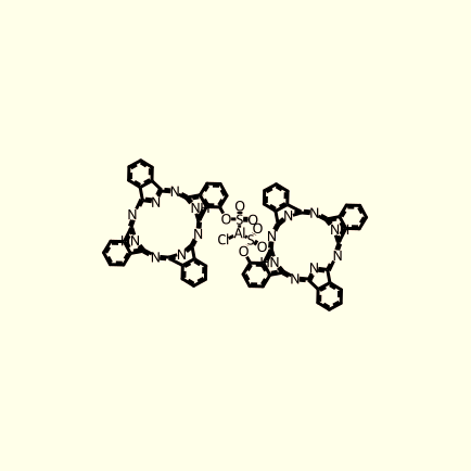 O=[S](=O)(Oc1cccc2c3nc4nc(nc5[nH]c(nc6nc(nc([nH]3)c12)-c1ccccc1-6)c1ccccc51)-c1ccccc1-4)[Al]([Cl])[S](=O)(=O)Oc1cccc2c3nc4nc(nc5[nH]c(nc6nc(nc([nH]3)c12)-c1ccccc1-6)c1ccccc51)-c1ccccc1-4